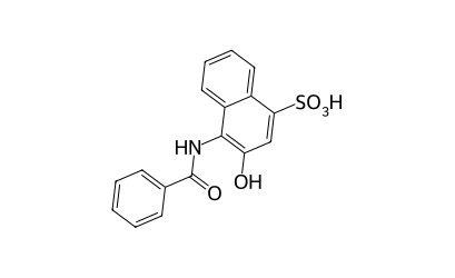 O=C(Nc1c(O)cc(S(=O)(=O)O)c2ccccc12)c1ccccc1